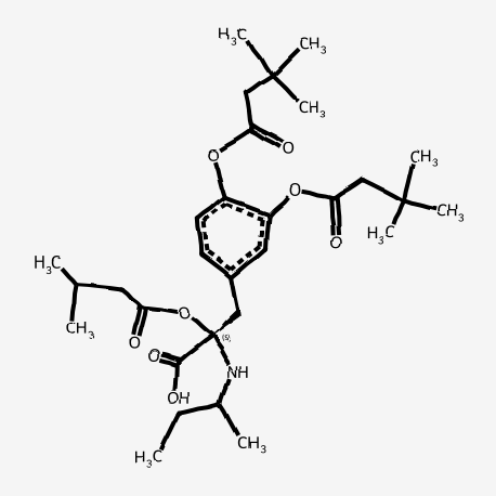 CCC(C)N[C@@](Cc1ccc(OC(=O)CC(C)(C)C)c(OC(=O)CC(C)(C)C)c1)(OC(=O)CC(C)C)C(=O)O